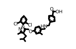 Cc1cc(OCc2c(CC(C)C)c(C)nn2-c2c(Cl)cccc2Cl)ccc1CNCc1ccc(C(=O)O)cc1